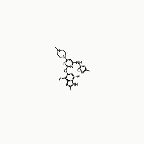 Cc1cc(Nc2cc(N3CCN(C)CC3)nc(Oc3cc(F)c4[nH]c(C)cc4c3F)n2)on1